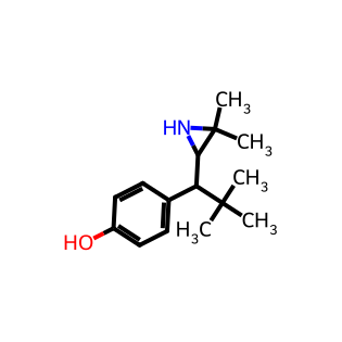 CC(C)(C)C(c1ccc(O)cc1)C1NC1(C)C